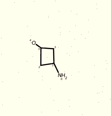 NC1CC([O])C1